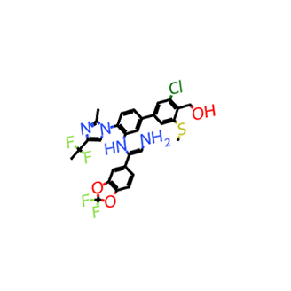 CSc1cc(-c2ccc(-n3cc(C(C)(F)F)nc3C)c(N/C(=C\N)c3ccc4c(c3)OC(F)(F)O4)c2)cc(Cl)c1CO